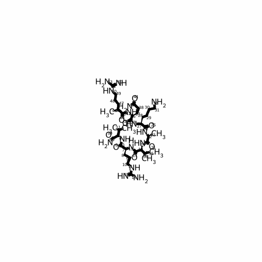 CC(C)[C@H](NC(=O)[C@H](CCCNC(=N)N)NC(=O)[C@@H](NC(=O)[C@H](C)NC(=O)[C@H](CCCCN)NC(=O)[C@H](CCC(N)=O)NC(=O)[C@@H](C)CCCNC(=N)N)C(C)C)C(N)=O